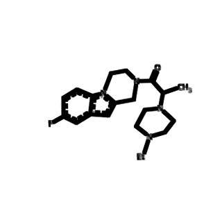 CCN1CCN(C(C)C(=O)N2CCn3c(cc4cc(F)ccc43)C2)CC1